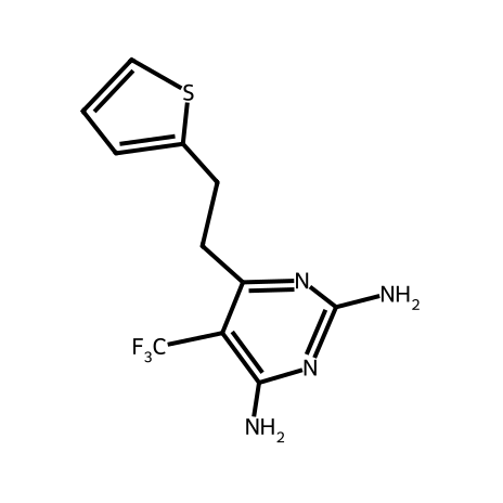 Nc1nc(N)c(C(F)(F)F)c(CCc2cccs2)n1